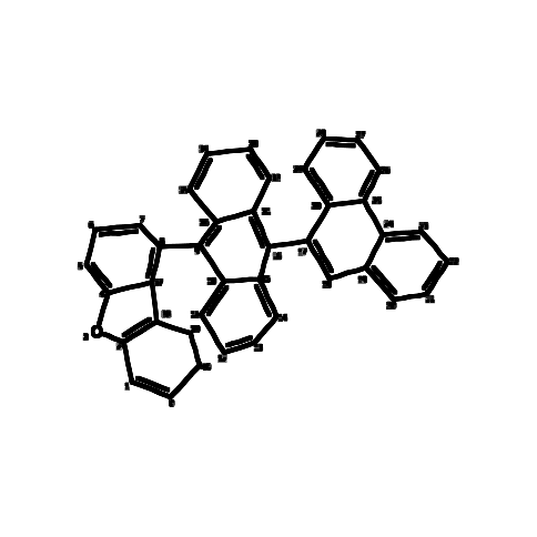 C1=Cc2oc3cccc(-c4c5ccccc5c(-c5cc6ccccc6c6ccccc56)c5ccccc45)c3c2CC1